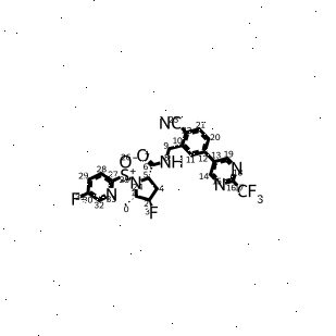 C[C@H]1[C@H](F)C[C@@H](C(=O)NCc2cc(-c3cnc(C(F)(F)F)nc3)ccc2C#N)N1[S+]([O-])c1ccc(F)cn1